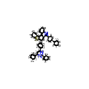 c1ccc(-c2ccc(-c3nc4ccccc4c4c3cc(-c3ccc(-c5cc(-c6ccccc6)nc(-c6ccccc6)n5)cc3)c3sc5ccccc5c34)cc2)cc1